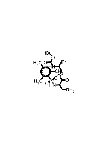 Cc1cc(C)c(S(=O)(=O)NC(CN)C(=O)OCC(NC(=O)OC(C)(C)C)C(C)C)c(C)c1